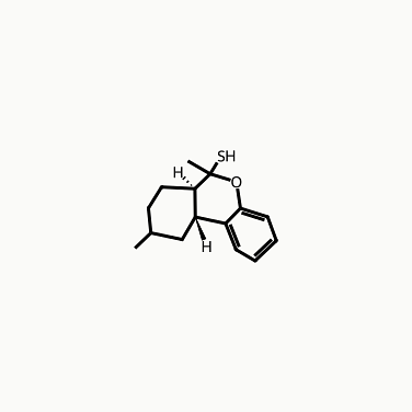 CC1CC[C@@H]2[C@@H](C1)c1ccccc1OC2(C)S